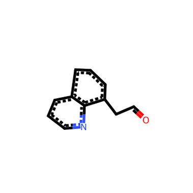 O=CCc1cccc2cccnc12